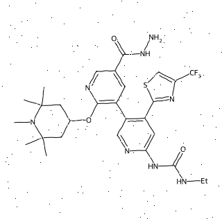 CCNC(=O)Nc1cc(-c2nc(C(F)(F)F)cs2)c(-c2cc(C(=O)NN)cnc2OC2CC(C)(C)N(C)C(C)(C)C2)cn1